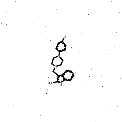 Cc1[nH]c2ccccc2c1CN1CCN(c2ccc(Cl)cc2)CC1